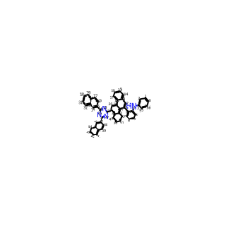 c1ccc(Nc2ccccc2-c2cc3ccccc3c3cc(-c4nc(-c5ccc6ccccc6c5)nc(-c5ccc6ccccc6c5)n4)c4ccccc4c23)cc1